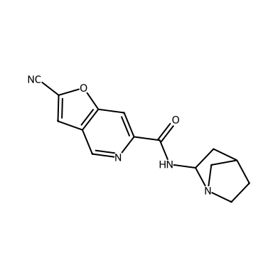 N#Cc1cc2cnc(C(=O)NC3CC4CCN3C4)cc2o1